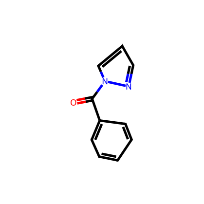 O=C(c1ccccc1)n1c[c]cn1